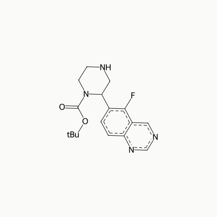 CC(C)(C)OC(=O)N1CCNCC1c1ccc2ncncc2c1F